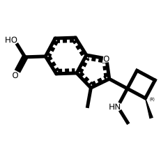 CNC1(c2oc3ccc(C(=O)O)cc3c2C)CC[C@H]1C